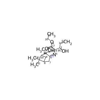 C=C[C@@H](O)[C@@H](/N=C1/CC2CC(C2(C)C)[C@@]1(C)O)C(=O)OCC